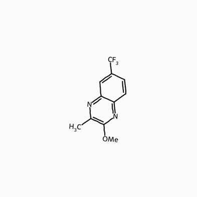 COc1nc2ccc(C(F)(F)F)cc2nc1C